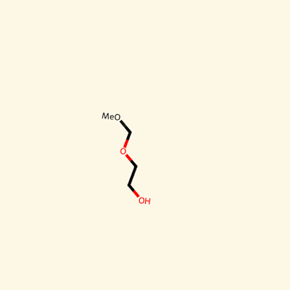 COCOCCO